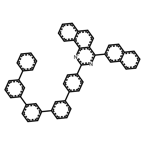 c1ccc(-c2cccc(-c3cccc(-c4cccc(-c5ccc(-c6nc(-c7ccc8ccccc8c7)c7ccc8ccccc8c7n6)cc5)c4)c3)c2)cc1